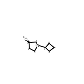 O=C1CCN(C2CCC2)C1